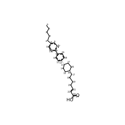 CCCCCc1cnc(-c2ccc([C@H]3CC[C@H](CCCC/C=C/C(=O)O)CC3)cc2)nc1